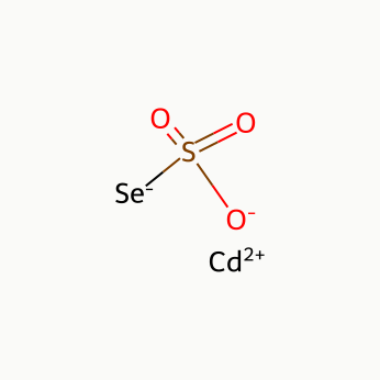 O=S(=O)([O-])[Se-].[Cd+2]